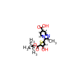 Cc1nc2cc(C(=O)O)ccn2c1-c1cc(O)c(C(=O)OC(C)(C)C)s1